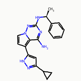 C[C@H](Nc1nc(N)c2c(-c3cc(C4CC4)n[nH]3)ccn2n1)c1ccccc1